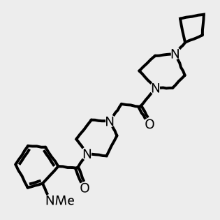 CNc1ccccc1C(=O)N1CCN(CC(=O)N2CCN(C3CCC3)CC2)CC1